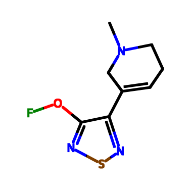 CN1CCC=C(c2nsnc2OF)C1